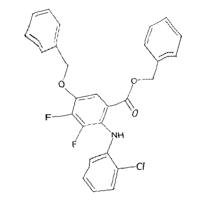 O=C(OCc1ccccc1)c1cc(OCc2ccccc2)c(F)c(F)c1Nc1ccccc1Cl